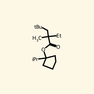 CCC(C)(CC(C)(C)C)C(=O)OC1(C(C)C)CCCC1